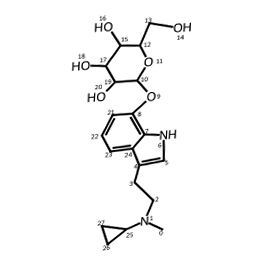 CN(CCc1c[nH]c2c(OC3OC(CO)C(O)C(O)C3O)cccc12)C1CC1